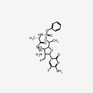 CC(C)OC(=O)[C@H](C)N[P@@](=O)(Oc1ccccc1)O[C@@H](C)[C@H]1O[C@@H](n2cc(F)c(N)nc2=O)[C@@](N)(CF)C1O